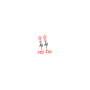 [O]=[Al][OH].[O]=[Al][OH]